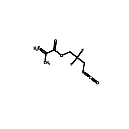 C=C(C)C(=O)OCC(F)(F)CN=C=O